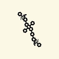 CCn1c(-c2ccccc2)nc2cc(-c3ccc(-c4ccc5c(-c6ccccc6)c6cc(-c7ccc8c(c7)nc(-c7ccccc7)n8CC)ccc6c(-c6ccccc6)c5c4)cc3)ccc21